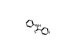 S=C(Nc1ccccc1)c1ccncc1